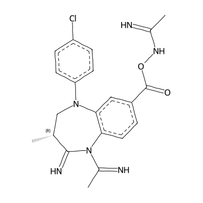 CC(=N)NOC(=O)c1ccc2c(c1)N(c1ccc(Cl)cc1)C[C@@H](C)C(=N)N2C(C)=N